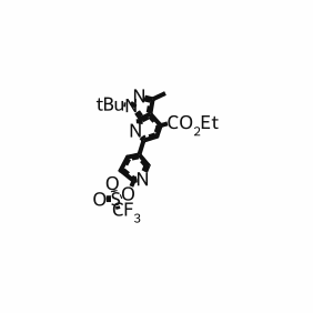 CCOC(=O)c1cc(-c2ccc(OS(=O)(=O)C(F)(F)F)nc2)nc2c1c(C)nn2C(C)(C)C